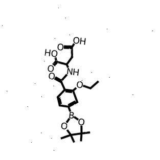 CCOc1cc(B2OC(C)(C)C(C)(C)O2)ccc1C(=O)NC(CC(=O)O)C(=O)O